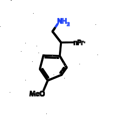 CC[CH]C(CN)c1ccc(OC)cc1